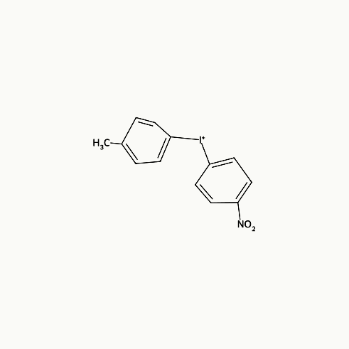 Cc1ccc([I+]c2ccc([N+](=O)[O-])cc2)cc1